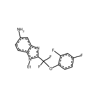 CCn1c(C(F)(F)Oc2ccc(F)cc2F)nc2cc(N)ccc21